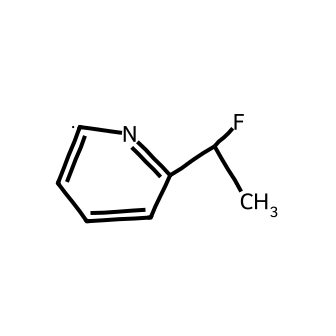 CC(F)c1ccc[c]n1